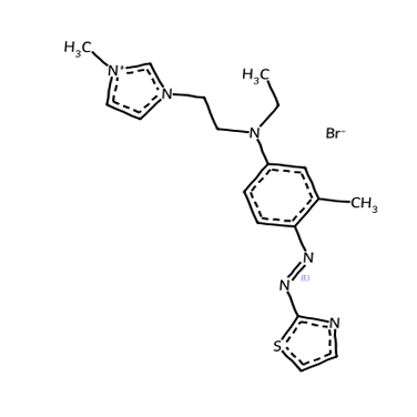 CCN(CCn1cc[n+](C)c1)c1ccc(/N=N/c2nccs2)c(C)c1.[Br-]